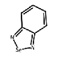 c1ccc2n[se]nc2c1